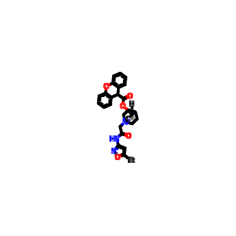 CCc1cc(NC(=O)C[N+]23CCC(CC2)[C@@H](OC(=O)C2c4ccccc4Oc4ccccc42)C3)no1